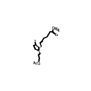 COC(=O)CCCCCC[C@H]1C(=O)C=C[C@@H]1/C=C/COC(C)=O